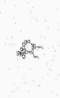 CN1C(=O)[C@H](CCCCN)NC(=O)[C@H](CCCN)NCc2cccnc2Sc2c(Cl)ccc(-c3ccc(-c4nsc(=O)[nH]4)cc3)c2CNC(=O)[C@@H]1Cc1c[nH]c2ccccc12